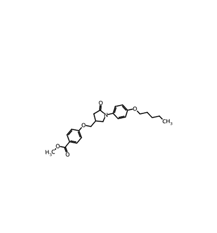 CCCCCOc1ccc(N2CC(COc3ccc(C(=O)OC)cc3)CC2=O)cc1